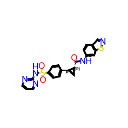 O=C(Nc1ccc2cnsc2c1)[C@@H]1C[C@H]1c1ccc(S(=O)(=O)Nc2ncccn2)cc1